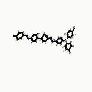 Cc1ccc(/C=C/c2ccc(-c3ccc(/C=C/c4ccc(N(c5ccc(C)cc5)c5ccc(C)cc5)cc4)cc3)cc2)cc1